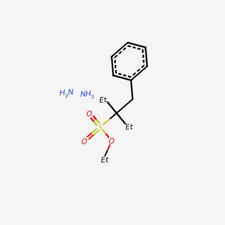 CCOS(=O)(=O)C(CC)(CC)Cc1ccccc1.N.N